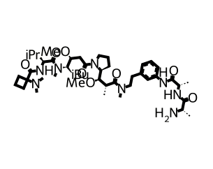 CC[C@H](C)[C@@H]([C@@H](CC(=O)N1CCC[C@H]1[C@H](OC)[C@@H](C)C(=O)N(C)CCc1cccc(NC(=O)[C@H](C)NC(=O)[C@H](C)N)c1)OC)N(C)C(=O)[C@@H](NC(=O)C1(N(C)C)CCC1)C(C)C